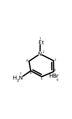 Br.CCN1C=CC=C(N)C1